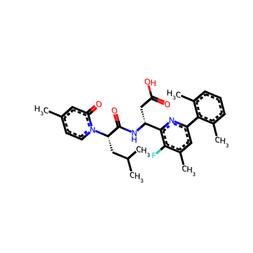 Cc1ccn([C@@H](CC(C)C)C(=O)N[C@H](CC(=O)O)c2nc(-c3c(C)cccc3C)cc(C)c2F)c(=O)c1